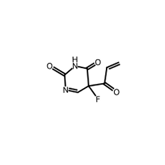 C=CC(=O)C1(F)C=NC(=O)NC1=O